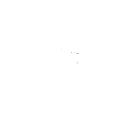 O=[AsH](S)Oc1ccccc1